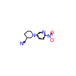 N#CC1CCCN(c2ccc([N+](=O)[O-])nc2)C1